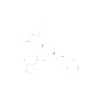 CC(C)(O)c1cnnn1[C@H]1C[C@@H](C(=O)NC2(C(O)C(N)=O)CCSCC2)N(C(=O)[C@@H](CC2CCCCC2)NC(=O)O)C1